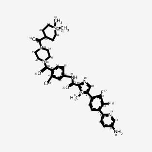 Cn1c(-c2ccc(-c3ccc(N)cn3)c(F)c2F)cnc1C(=O)Nc1ccc(C(=O)N2CCN(C(=O)C3CC[N+](C)(C)CC3)CC2)c(Cl)c1